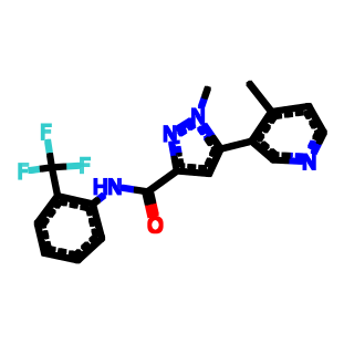 Cc1ccncc1-c1cc(C(=O)Nc2ccccc2C(F)(F)F)nn1C